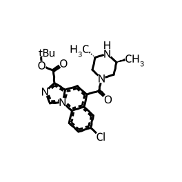 C[C@H]1CN(C(=O)c2cc3c(C(=O)OC(C)(C)C)ncn3c3ccc(Cl)cc23)C[C@H](C)N1